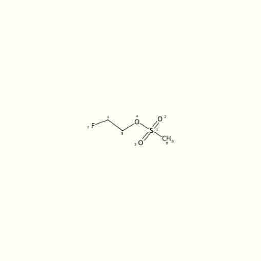 CS(=O)(=O)OCCF